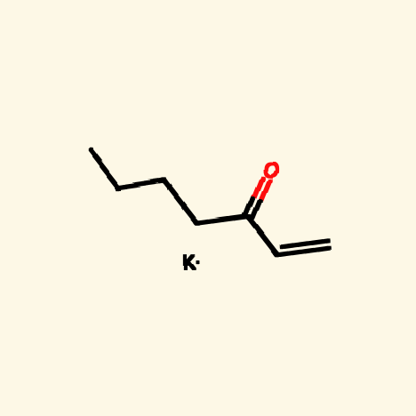 C=CC(=O)CCCC.[K]